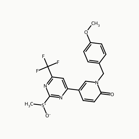 COc1ccc(Cn2cc(-c3cc(C(F)(F)F)nc([S+](C)[O-])n3)ccc2=O)cc1